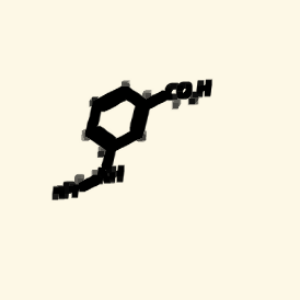 CCCNc1cccc(C(=O)O)c1